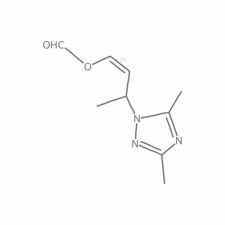 Cc1nc(C)n(C(C)/C=C\OC=O)n1